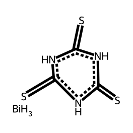 S=c1[nH]c(=S)[nH]c(=S)[nH]1.[BiH3]